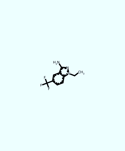 CCn1nc(N)c2cc(C(F)(F)F)ccc21